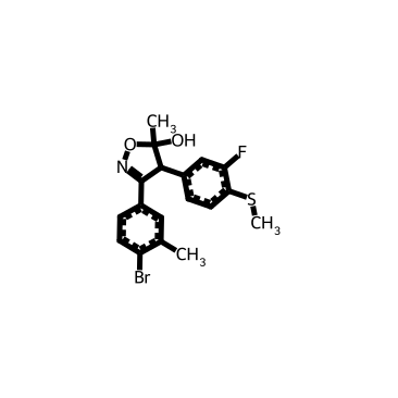 CSc1ccc(C2C(c3ccc(Br)c(C)c3)=NOC2(C)O)cc1F